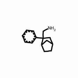 NCC1(c2ccccc2)CC2CCC1C2